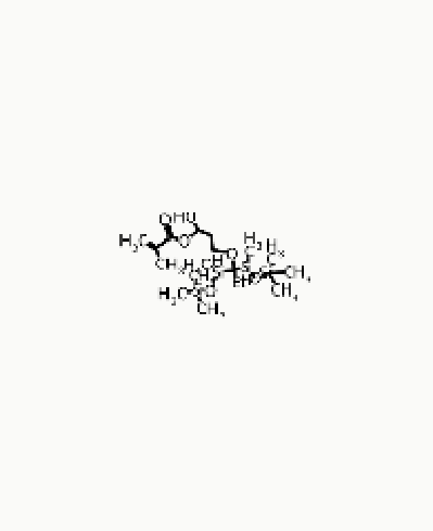 [CH2]CC(OCCC(O)OC(=O)C(=C)C)([SiH](C)O[Si](C)(C)C)[SiH](C)O[Si](C)(C)C